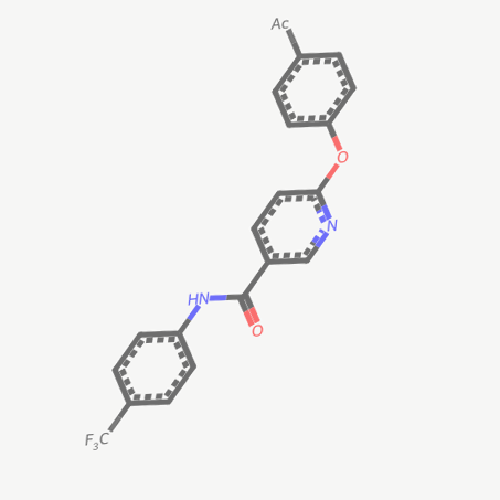 CC(=O)c1ccc(Oc2ccc(C(=O)Nc3ccc(C(F)(F)F)cc3)cn2)cc1